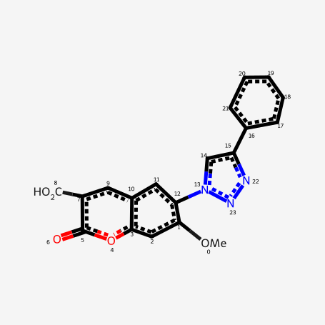 COc1cc2oc(=O)c(C(=O)O)cc2cc1-n1cc(-c2ccccc2)nn1